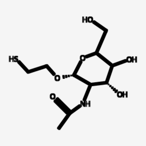 CC(=O)NC1[C@H](OCCS)OC(CO)C(O)[C@@H]1O